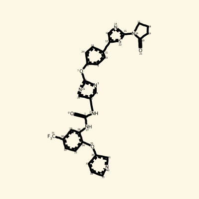 O=C(Nc1cnc(Oc2ccc(-c3cnc(N4CCCC4=O)s3)cc2)nc1)Nc1cc(C(F)(F)F)ccc1Oc1cccnc1